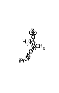 Cc1nc(-c2ccc(N3CCN(CC(C)C)CC3)cc2)cc2c1cc(-c1ccc(S(=O)(=O)C3CC3)cc1)n2C